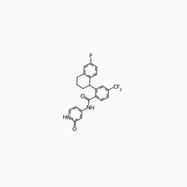 O=C(Nc1cc[nH]c(=O)c1)c1ccc(C(F)(F)F)cc1C1CCCc2cc(F)ccc21